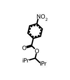 CC(C)C(OC(=O)c1ccc([N+](=O)[O-])cc1)C(C)C